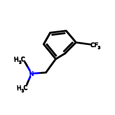 CN(C)Cc1cccc(C(F)(F)F)c1